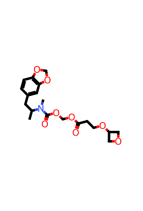 CC(Cc1ccc2c(c1)OCO2)N(C)C(=O)OCOC(=O)CCOC1COC1